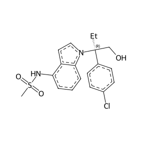 CC[C@](CO)(c1ccc(Cl)cc1)n1ccc2c(NS(C)(=O)=O)cccc21